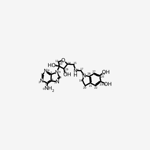 Nc1ncnc2c1ncn2C1(O)COC(CNCN2CCc3cc(O)c(O)cc32)C1O